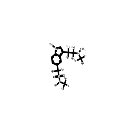 [2H]N(C([2H])([2H])[2H])S(=O)(=O)C([2H])([2H])c1ccc2c(c1)c(C([2H])([2H])C([2H])([2H])N(C)C([2H])([2H])[2H])cn2[2H]